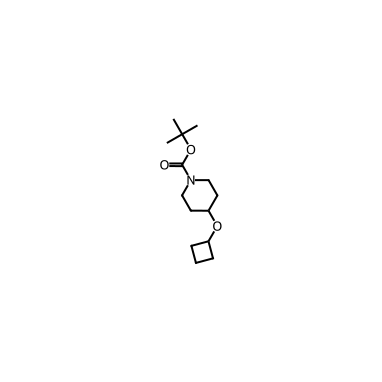 CC(C)(C)OC(=O)N1CCC(OC2CCC2)CC1